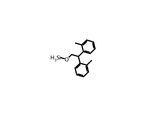 Cc1ccccc1C(CO[SiH3])c1ccccc1C